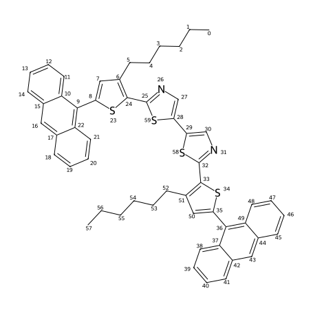 CCCCCCc1cc(-c2c3ccccc3cc3ccccc23)sc1-c1ncc(-c2cnc(-c3sc(-c4c5ccccc5cc5ccccc45)cc3CCCCCC)s2)s1